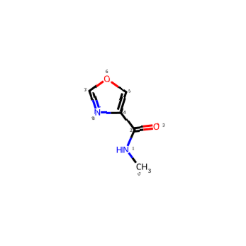 CNC(=O)c1co[c]n1